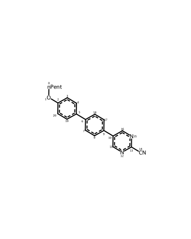 CCCCCOc1ccc(-c2ccc(-c3cnc(C#N)nc3)cc2)cc1